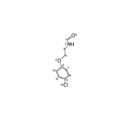 O=CNCCOc1ccc(Cl)cc1